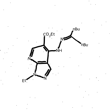 CCCCC(CCCC)=NNc1c(C(=O)OCC)cnc2c1cnn2CC